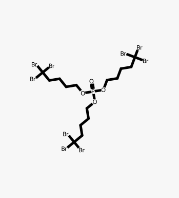 O=P(OCCCCC(Br)(Br)Br)(OCCCCC(Br)(Br)Br)OCCCCC(Br)(Br)Br